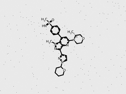 C[C@@H]1COCCN1c1cc(-c2ccc(S(C)(=N)=O)cc2)c2c(n1)c(-c1ccn(C3CCCCO3)n1)nn2C